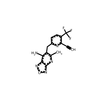 C#Cc1nc(Cc2c(C)nc3nonc3c2N)ccc1C(F)(F)F